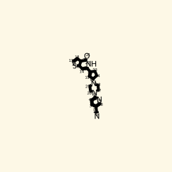 N#Cc1ccc(N2CCN([C@H]3C=C(C4=CC5SC=CC5C(=O)N4)CC3)CC2)nc1